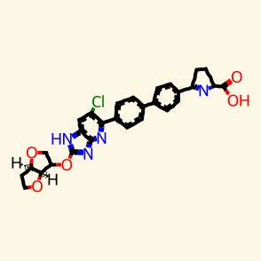 O=C(O)C1CCC(c2ccc(-c3ccc(-c4nc5nc(OC6CO[C@@H]7CCO[C@H]67)[nH]c5cc4Cl)cc3)cc2)=N1